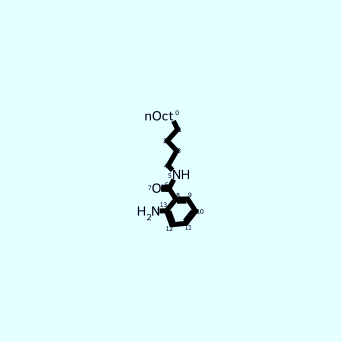 CCCCCCCCCCCCNC(=O)c1ccccc1N